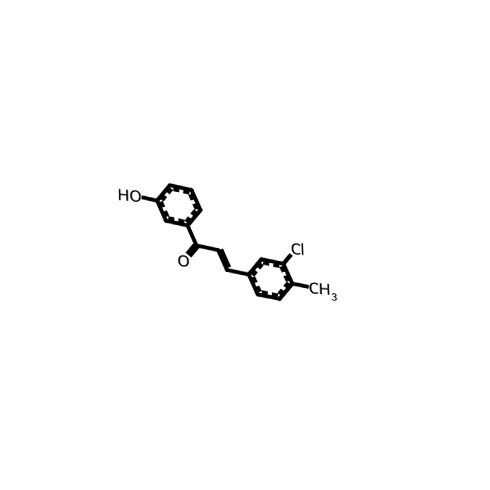 Cc1ccc(/C=C/C(=O)c2cccc(O)c2)cc1Cl